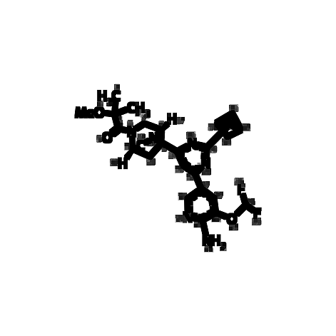 COC(C)(C)C(=O)N1C[C@@H]2CC[C@H]1CN2c1cc(-c2cnc(N)c(OC(F)F)c2)nc(N2CC3CC2C3)n1